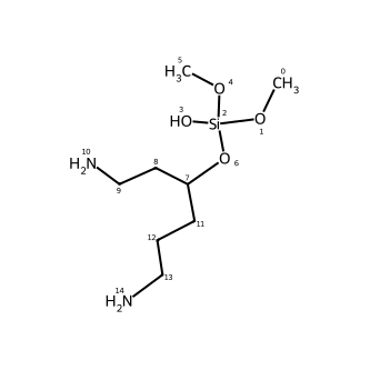 CO[Si](O)(OC)OC(CCN)CCCN